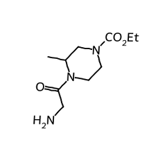 CCOC(=O)N1CCN(C(=O)CN)C(C)C1